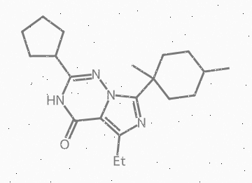 CCc1nc(C2(C)CCC(C)CC2)n2nc(C3CCCC3)[nH]c(=O)c12